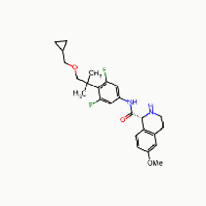 COc1ccc2c(c1)CCN[C@H]2C(=O)Nc1cc(F)c(C(C)(C)COCC2CC2)c(F)c1